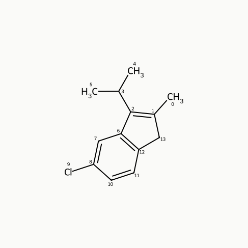 CC1=C(C(C)C)c2cc(Cl)ccc2C1